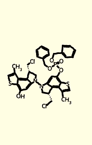 Cc1csc2c(O)cc3c(c12)[C@H](CCl)CN3N1C[C@@H](CCl)c2c1cc(OP(=O)(OCc1ccccc1)OCc1ccccc1)c1scc(C)c21